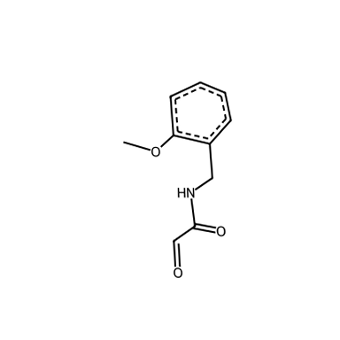 COc1ccccc1CNC(=O)C=O